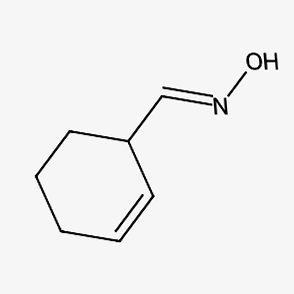 ON=CC1C=CCCC1